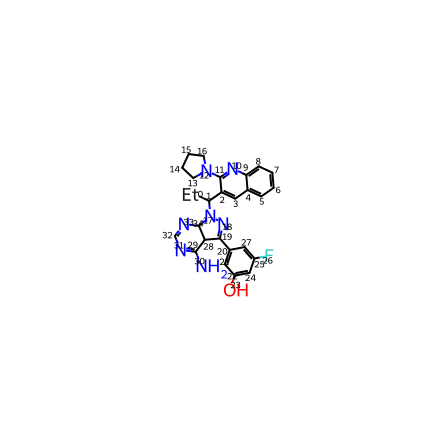 CCC(c1cc2ccccc2nc1N1CCCC1)N1N=C(c2cc(O)cc(F)c2)C2C(N)=NC=NC21